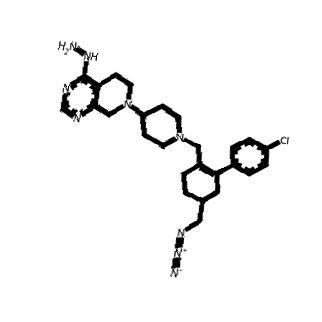 [N-]=[N+]=NCC1CCC(CN2CCC(N3CCc4c(ncnc4NN)C3)CC2)=C(c2ccc(Cl)cc2)C1